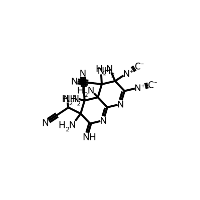 [C-]#[N+]C1=NC2=NC(=N)C(N)(C(N)C#N)C(N)(C#N)C2(N)C(N)(C#N)C1(N)[N+]#[C-]